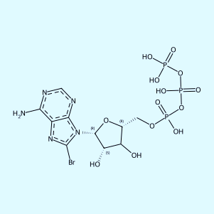 Nc1ncnc2c1nc(Br)n2[C@@H]1O[C@H](COP(=O)(O)OP(=O)(O)OP(=O)(O)O)C(O)[C@@H]1O